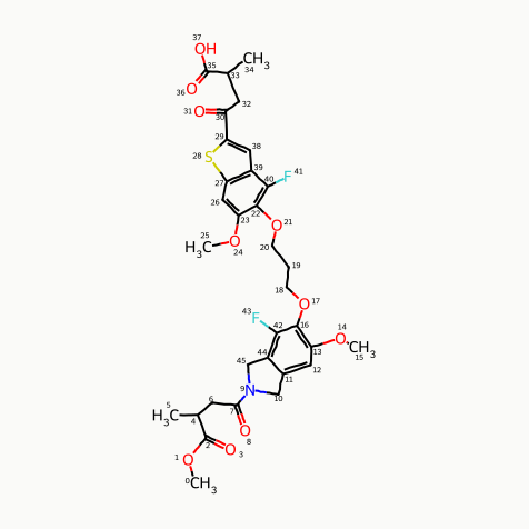 COC(=O)C(C)CC(=O)N1Cc2cc(OC)c(OCCCOc3c(OC)cc4sc(C(=O)CC(C)C(=O)O)cc4c3F)c(F)c2C1